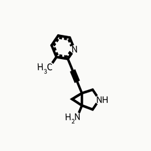 Cc1cccnc1C#CC12CNCC1(N)C2